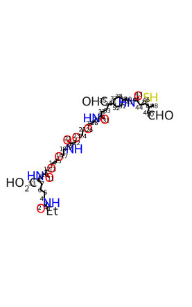 CCC(=O)NCCCCC(NC(=O)COCCOCCNC(=O)COCCOCCNC(=O)CCC(C=O)C1CCC(CNC(=O)CC(S)C(C)CC=O)CC1)C(=O)O